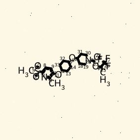 Cc1nc(S(C)(=O)=O)ccc1O[C@H]1CC[C@H](OC2CCN(C(=O)O[C@H](C)C(F)(F)F)CC2)CC1